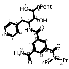 CCCCCC(O)C(O)C(Cc1ccncc1)NC(=O)c1cc(C(N)=O)cc(C(=O)N(CCC)CCC)c1